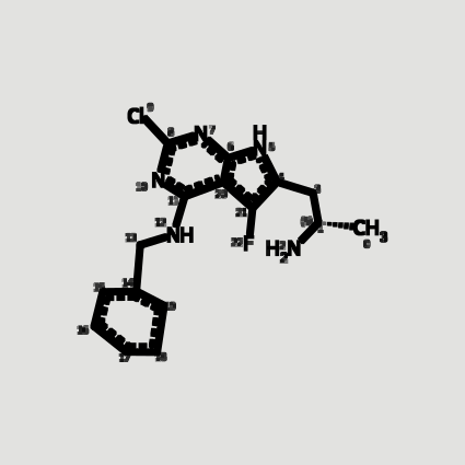 C[C@H](N)Cc1[nH]c2nc(Cl)nc(NCc3ccccc3)c2c1F